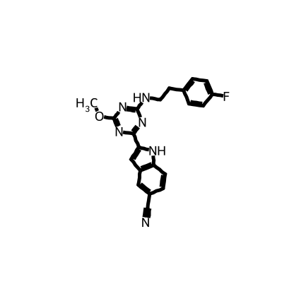 COc1nc(NCCc2ccc(F)cc2)nc(-c2cc3cc(C#N)ccc3[nH]2)n1